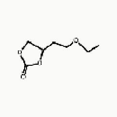 CCOCCC1COC(=O)O1